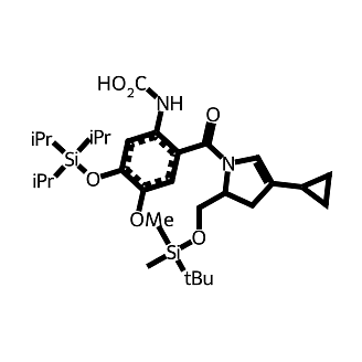 COc1cc(C(=O)N2C=C(C3CC3)CC2CO[Si](C)(C)C(C)(C)C)c(NC(=O)O)cc1O[Si](C(C)C)(C(C)C)C(C)C